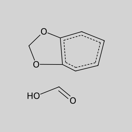 O=CO.c1ccc2c(c1)OCO2